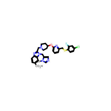 CCn1cncc1Cn1c(CN2CCC(Oc3cccc(CSc4ccc(Cl)cc4F)n3)CC2)nc2ccc(C(=O)O)cc21